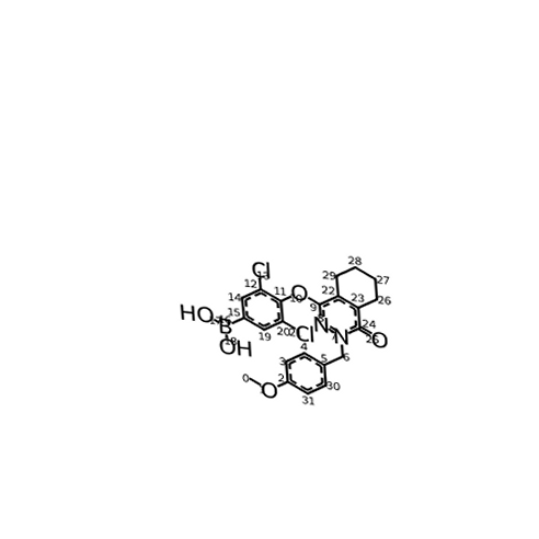 COc1ccc(Cn2nc(Oc3c(Cl)cc(B(O)O)cc3Cl)c3c(c2=O)CCCC3)cc1